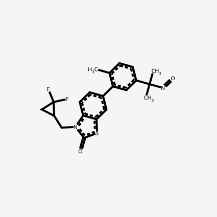 Cc1ccc(C(C)(C)N=O)cc1-c1ccc2c(c1)sc(=O)n2CC1CC1(F)F